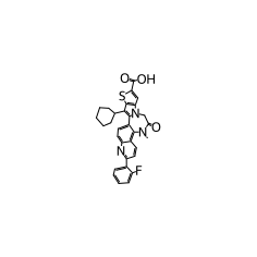 CN1C(=O)Cn2c(c(C3CCCCC3)c3sc(C(=O)O)cc32)-c2ccc3nc(-c4ccccc4F)ccc3c21